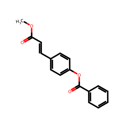 COC(=O)C=Cc1ccc(OC(=O)c2ccccc2)cc1